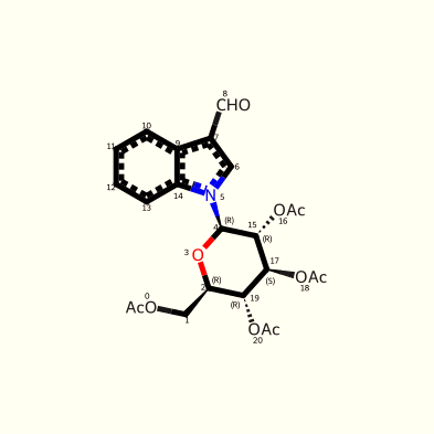 CC(=O)OC[C@H]1O[C@@H](n2cc(C=O)c3ccccc32)[C@H](OC(C)=O)[C@@H](OC(C)=O)[C@@H]1OC(C)=O